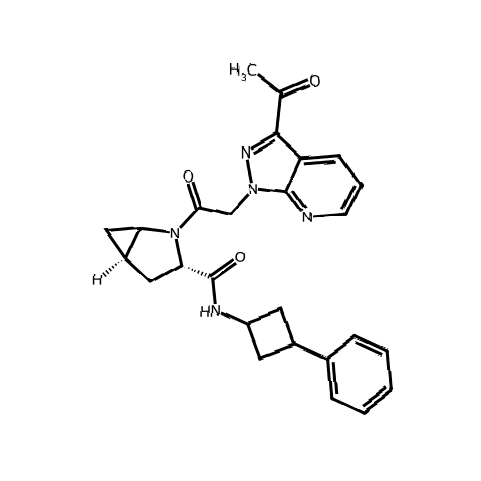 CC(=O)c1nn(CC(=O)N2C3C[C@@H]3C[C@H]2C(=O)NC2CC(c3ccccc3)C2)c2ncccc12